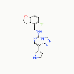 Fc1ccc2c(c1CNc1ncc(C3CCNC3)c3nncn13)CCO2